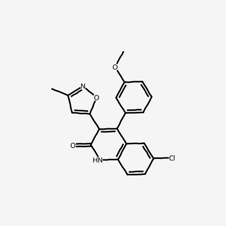 COc1cccc(-c2c(-c3cc(C)no3)c(=O)[nH]c3ccc(Cl)cc23)c1